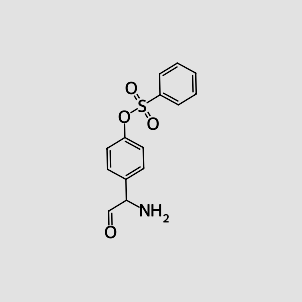 NC(C=O)c1ccc(OS(=O)(=O)c2ccccc2)cc1